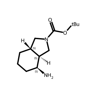 CC(C)(C)OC(=O)N1C[C@H]2CCC[C@H](N)[C@@H]2C1